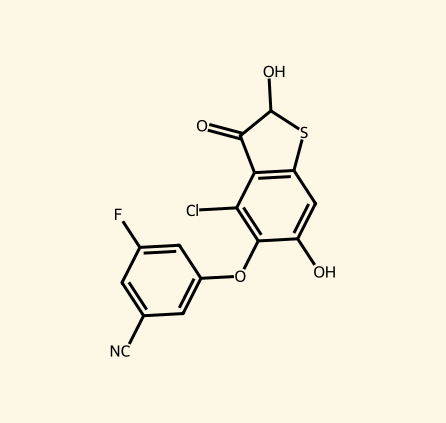 N#Cc1cc(F)cc(Oc2c(O)cc3c(c2Cl)C(=O)C(O)S3)c1